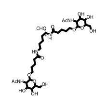 CC(=O)NC1C(OCCCCC(=O)NCCCC[C@H](C=O)NC(=O)CCCCOC2OC(CO)C(O)C(O)C2NC(C)=O)OC(CO)C(O)C1O